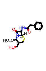 O=C(Cc1ccccc1)NC1C(=O)N2C(C(=O)O)C(CO)CS[C@@H]12